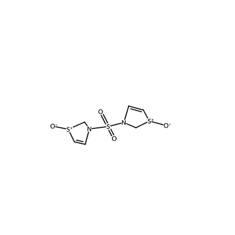 O=S(=O)(N1C=C[S+]([O-])C1)N1C=C[S+]([O-])C1